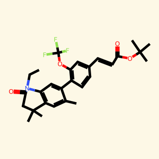 CCN1C(=O)CC(C)(C)c2cc(C)c(-c3ccc(C=CC(=O)OC(C)(C)C)cc3OC(F)(F)F)cc21